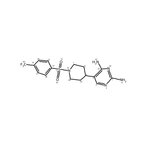 Nc1ncc(C2CCN(S(=O)(=O)c3ccc(C(F)(F)F)cc3)CC2)c(N)n1